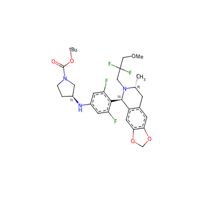 COCC(F)(F)CN1[C@H](c2c(F)cc(N[C@H]3CCN(C(=O)OC(C)(C)C)C3)cc2F)c2cc3c(cc2C[C@H]1C)OCO3